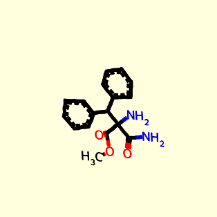 COC(=O)C(N)(C(N)=O)C(c1ccccc1)c1ccccc1